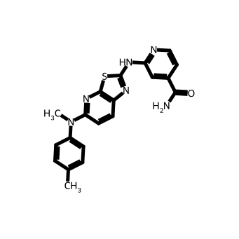 Cc1ccc(N(C)c2ccc3nc(Nc4cc(C(N)=O)ccn4)sc3n2)cc1